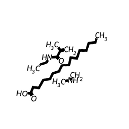 C=C(C)C(=O)NCCC.CCCCCCCCCCCCCCCC(=O)O.[CH2]NC